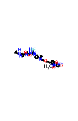 Cn1c(=O)n(C2CCC(=O)NC2=O)c2cccc(CCCOCCCN(C[C@H]3CC[C@H](n4cc(NC(=O)c5coc(-c6ccnc(NCC7CC7)c6)n5)c(C(F)F)n4)CC3)C3CC3)c21